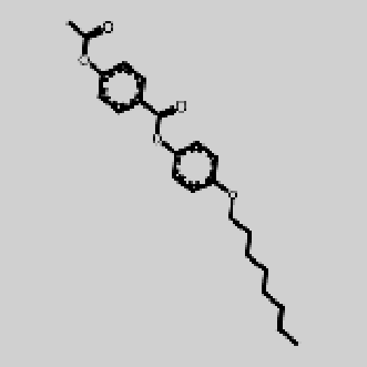 CCCCCCCCOc1ccc(OC(=O)c2ccc(OC(C)=O)cc2)cc1